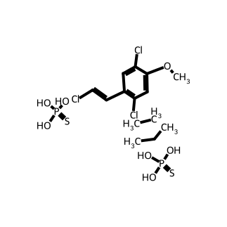 CC.CCC.COc1cc(Cl)c(C=CCl)cc1Cl.OP(O)(O)=S.OP(O)(O)=S